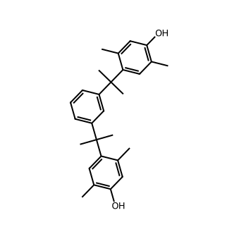 Cc1cc(C(C)(C)c2cccc(C(C)(C)c3cc(C)c(O)cc3C)c2)c(C)cc1O